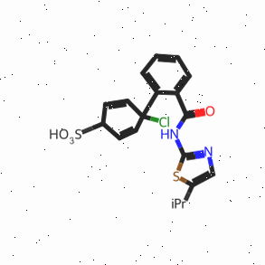 CC(C)c1cnc(NC(=O)c2ccccc2C2(Cl)C=CC(S(=O)(=O)O)C=C2)s1